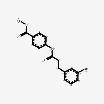 COC(=O)c1ccc(NC(=O)CCc2cccc(O)c2)cc1